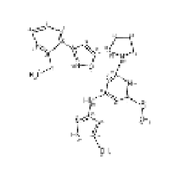 CCc1nccnc1-c1cc([C@@H]2CCCN2c2nc(Nc3cc(C)[nH]n3)cc(OC)n2)on1